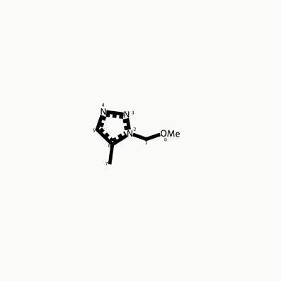 COCn1nncc1C